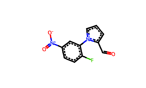 O=Cc1cccn1-c1cc([N+](=O)[O-])ccc1F